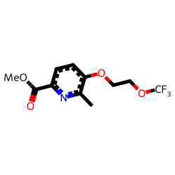 COC(=O)c1ccc(OCCOC(F)(F)F)c(C)n1